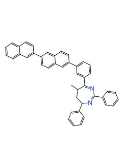 CC1CC(c2ccccc2)N=C(c2ccccc2)N=C1c1cccc(-c2ccc3cc(-c4ccc5ccccc5c4)ccc3c2)c1